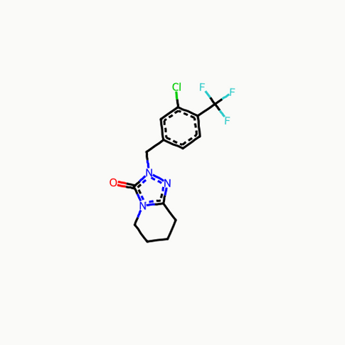 O=c1n(Cc2ccc(C(F)(F)F)c(Cl)c2)nc2n1CCCC2